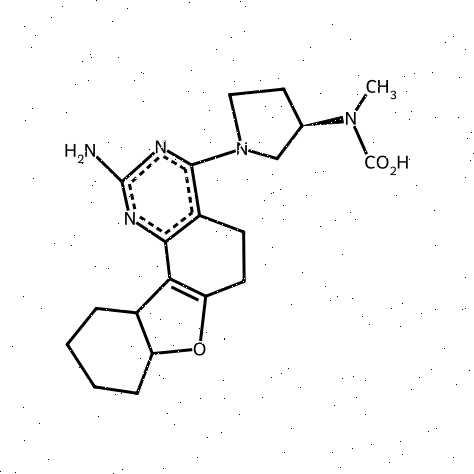 CN(C(=O)O)[C@@H]1CCN(c2nc(N)nc3c2CCC2=C3C3CCCCC3O2)C1